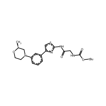 C[C@H]1CN(c2cccc(-c3csc(NC(=O)CNC(=O)OC(C)(C)C)n3)c2)CCO1